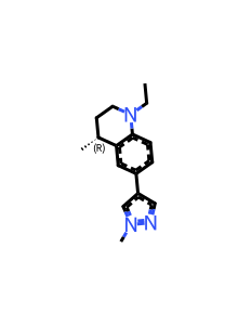 CCN1CC[C@@H](C)c2cc(-c3cnn(C)c3)ccc21